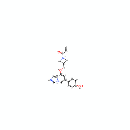 C=CC(=O)N1CC(COc2cc(-c3ccc(O)cc3)cn3cncc23)C1